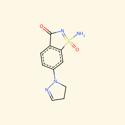 NS1(=O)=NC(=O)c2ccc(N3CCC=N3)cc21